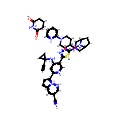 C#CC1(Nc2cc(-c3ccc4cc(C#N)cnn34)ncc2-c2nnc(N3CC4CCC(C3)N4CC3CCN(c4ccc([C@H]5CCC(=O)NC5=O)cn4)CC3)s2)CC1